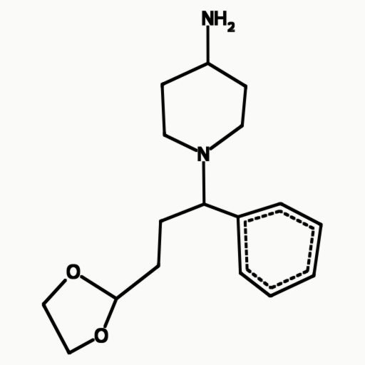 NC1CCN(C(CCC2OCCO2)c2ccccc2)CC1